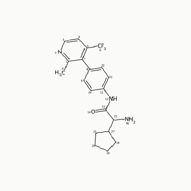 Cc1nccc(C(F)(F)F)c1-c1ccc(NC(=O)C(N)C2CCCC2)cc1